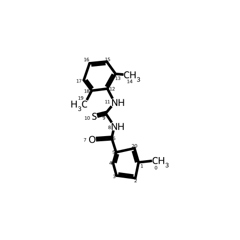 Cc1cccc(C(=O)NC(=S)Nc2c(C)cccc2C)c1